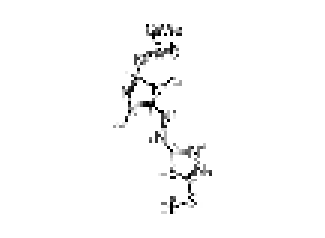 CCSc1nnc(/N=N/c2c(C)nc(N=[SH](=O)OC)n2C)s1